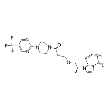 C[C@@H](COCCC(=O)N1CCN(c2ncc(C(F)(F)F)cn2)CC1)n1ccc2c(=O)[nH]ccc21